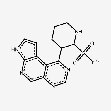 CCCS(=O)(=O)C1NCCCC1c1ncnc2cnc3[nH]ccc3c12